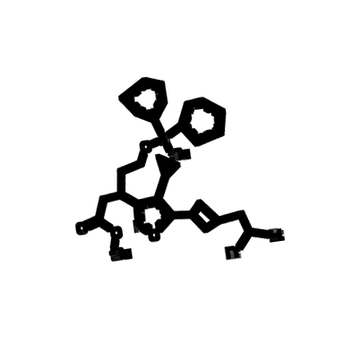 CCC(CC)CC1CC(c2onc(C(CCO[Si](c3ccccc3)(c3ccccc3)C(C)(C)C)CC(=O)OC(C)(C)C)c2C2CC2)C1